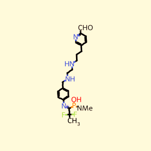 CNP(O)/C(=N\c1ccc(CNCCNCCCc2ccc(C=O)nc2)cc1)C(C)(F)F